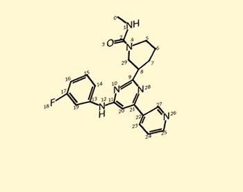 CNC(=O)N1CCCC(c2nc(Nc3cccc(F)c3)cc(-c3cccnc3)n2)C1